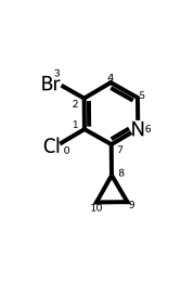 Clc1c(Br)ccnc1C1CC1